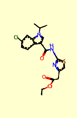 CCOC(=O)Cc1csc(NC(=O)c2cn(C(C)C)c3cc(Cl)ccc23)n1